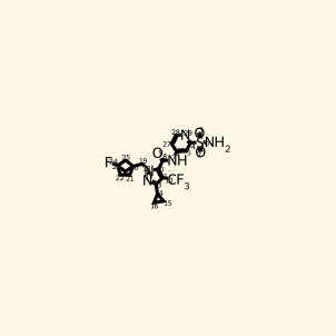 NS(=O)(=O)c1cc(NC(=O)c2c(C(F)(F)F)c(C3CC3)nn2CC23CCC(F)(C2)C3)ccn1